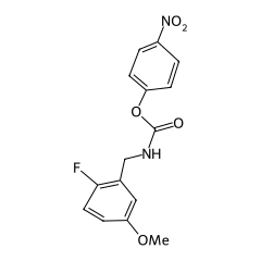 COc1ccc(F)c(CNC(=O)Oc2ccc([N+](=O)[O-])cc2)c1